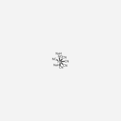 N#[C][Fe]([C]#N)([C]#N)([C]#N)([C]#N)[N]=O.[NaH].[NaH]